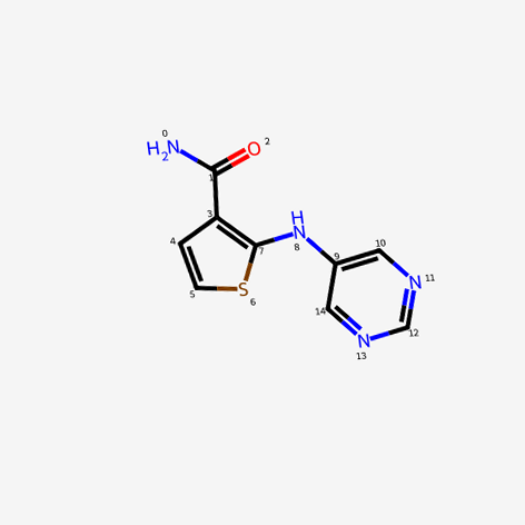 NC(=O)c1ccsc1Nc1cncnc1